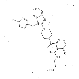 CN(c1nccc(=O)n1C(=O)NCCO)C1CCN(c2nc3ccccc3n2Cc2ccc(F)cc2)CC1